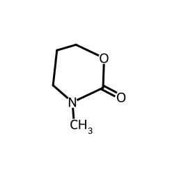 CN1CCCOC1=O